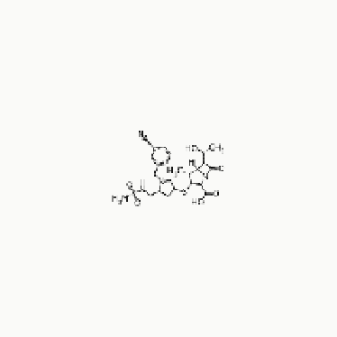 C[C@@H](O)[C@H]1C(=O)N2C(C(=O)O)=C(S[C@H]3C[C@@H](CNS(N)(=O)=O)N(Cc4cccc(C#N)c4)C3)[C@H](C)[C@H]12